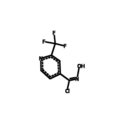 O/N=C(/Cl)c1ccnc(C(F)(F)F)c1